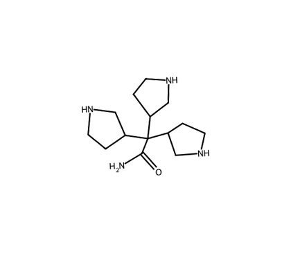 NC(=O)C(C1CCNC1)(C1CCNC1)C1CCNC1